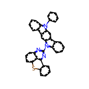 c1ccc(-n2c3ccccc3c3cc4c(cc32)c2ccccc2n4-c2nc3c4c(cccc4n2)Sc2ccccc2-3)cc1